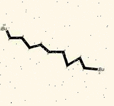 CCC(C)CCC[CH]CCCCCC(C)CC